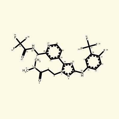 CN(C)C(=O)CCn1nc(Nc2ccc(F)c(C(F)(F)F)c2)nc1-c1ccnc(CNC(=O)C(F)(F)F)c1